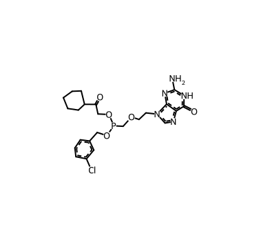 Nc1nc2c(ncn2CCOCP(OCC(=O)C2CCCCC2)OCc2cccc(Cl)c2)c(=O)[nH]1